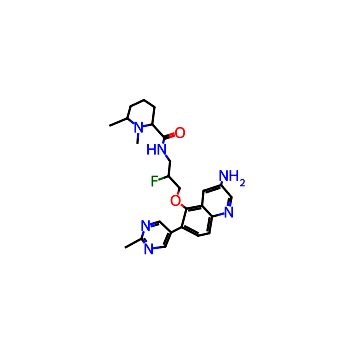 Cc1ncc(-c2ccc3ncc(N)cc3c2OCC(F)CNC(=O)C2CCCC(C)N2C)cn1